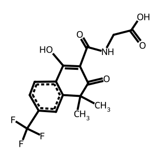 CC1(C)C(=O)C(C(=O)NCC(=O)O)=C(O)c2ccc(C(F)(F)F)cc21